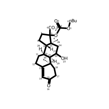 CCCCOC(=O)OC1(C(=O)O)CC[C@H]2[C@@H]3CCC4=CC(=O)CC[C@]4(C)[C@@H]3C(O)C[C@@]21C